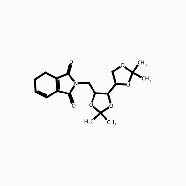 CC1(C)OCC(C2OC(C)(C)OC2CN2C(=O)C3=C(CCC=C3)C2=O)O1